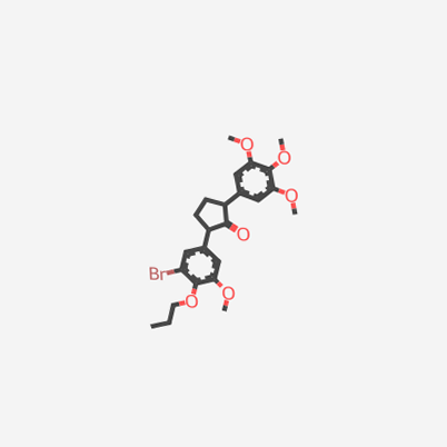 CCCOc1c(Br)cc(C2CCC(c3cc(OC)c(OC)c(OC)c3)C2=O)cc1OC